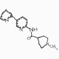 CN1CCC(C(=O)Nc2ccc(-c3ccccn3)cn2)CC1